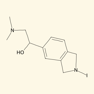 CN(C)CC(O)c1ccc2c(c1)CN(I)C2